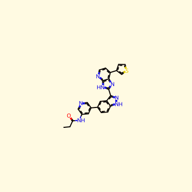 CCC(=O)Nc1cncc(-c2ccc3[nH]nc(-c4nc5c(-c6ccsc6)ccnc5[nH]4)c3c2)c1